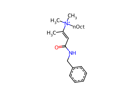 CCCCCCCC[N+](C)(C)/C(C)=C/C(=O)NCc1ccccc1